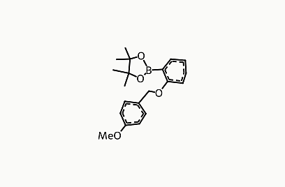 COc1ccc(COc2ccccc2B2OC(C)(C)C(C)(C)O2)cc1